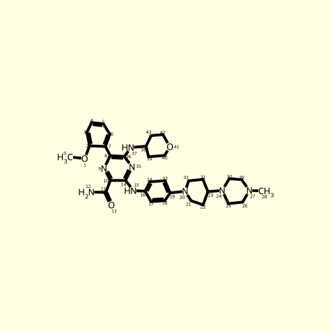 COc1ccccc1-c1nc(C(N)=O)c(Nc2ccc(N3CCC(N4CCN(C)CC4)CC3)cc2)nc1NC1CCOCC1